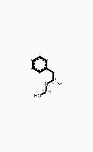 C[C@@H](Cc1ccccc1)NPO